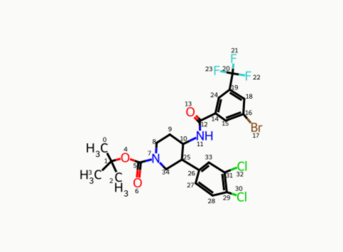 CC(C)(C)OC(=O)N1CCC(NC(=O)c2cc(Br)cc(C(F)(F)F)c2)C(c2ccc(Cl)c(Cl)c2)C1